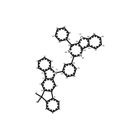 CC1(C)c2ccccc2-c2cc3c(cc21)c1ccccc1n3-c1cccc(-c2nc(-c3ccccc3)c3oc4ccccc4c3n2)c1